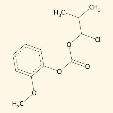 COc1ccccc1OC(=O)OC(Cl)C(C)C